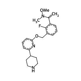 C=C(c1cccc(COc2cccc(C3CCNCC3)n2)c1F)N(C)OC